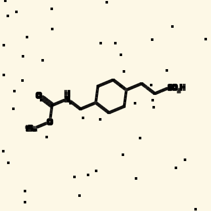 CC(C)(C)OC(=O)NCC1CCC(CCS(=O)(=O)O)CC1